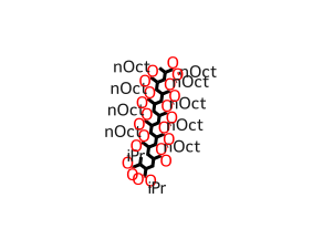 CCCCCCCCOC(=O)C(C)CC(CC(CC(CC(CC(CC(CC(CC(CC(C(=O)OC(C)C)C(C)C(=O)OC(C)C)C(=O)OCCCCCCCC)C(=O)OCCCCCCCC)C(=O)OCCCCCCCC)C(=O)OCCCCCCCC)C(=O)OCCCCCCCC)C(=O)OCCCCCCCC)C(=O)OCCCCCCCC)C(=O)OCCCCCCCC